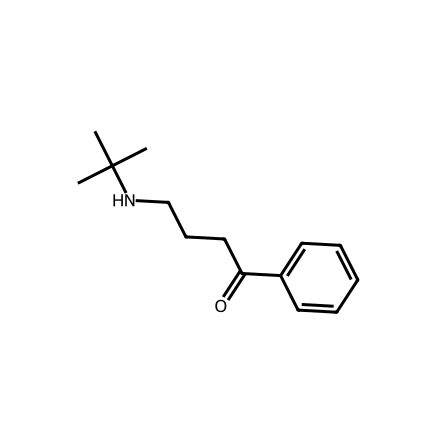 CC(C)(C)NCCCC(=O)c1ccccc1